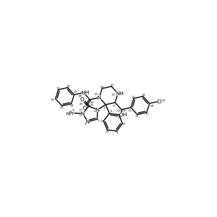 CCCn1ncn(C2(c3ccccc3)C(C(O)c3ccc(Cl)cc3)NCCN2C(=O)Nc2ccccc2)c1=O